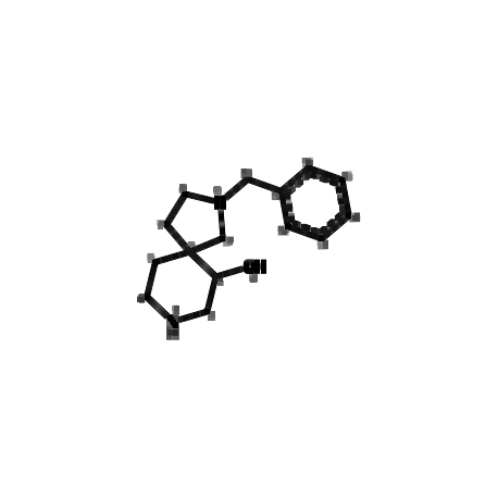 OC1CNCCC12CCN(Cc1ccccc1)C2